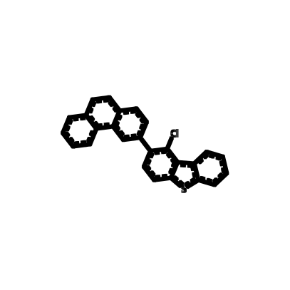 Clc1c(-c2ccc3ccc4ccccc4c3c2)ccc2sc3ccccc3c12